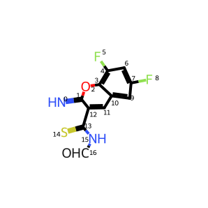 N=c1oc2c(F)cc(F)cc2cc1C(=S)NC=O